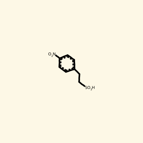 O=[N+]([O-])c1ccc(CCS(=O)(=O)O)cc1